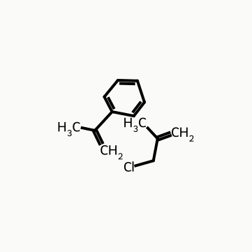 C=C(C)CCl.C=C(C)c1ccccc1